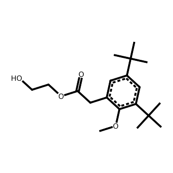 COc1c(CC(=O)OCCO)cc(C(C)(C)C)cc1C(C)(C)C